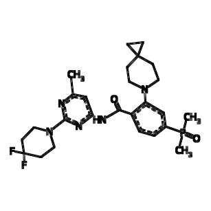 Cc1cc(NC(=O)c2ccc(P(C)(C)=O)cc2N2CCC3(CC2)CC3)nc(N2CCC(F)(F)CC2)n1